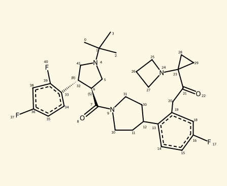 CC(C)(C)N1C[C@@H](C(=O)N2CCC(c3ccc(F)cc3CC(=O)C3(N4CCC4)CC3)CC2)[C@H](c2ccc(F)cc2F)C1